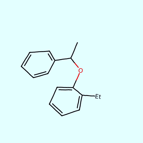 CCc1ccccc1OC(C)c1ccccc1